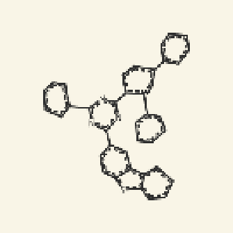 c1ccc(-c2ccc(-c3nc(-c4ccccc4)nc(-c4ccc5sc6ccccc6c5c4)n3)c(-c3ccccc3)c2)cc1